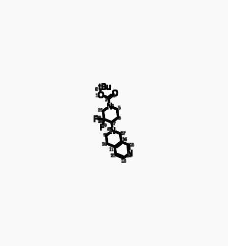 CC(C)(C)OC(=O)N1CCC(N2CCc3ccncc3C2)C(F)(F)C1